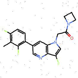 Cc1c(F)ccc(-c2cnc3c(F)cn(CC(=O)N4CCC4)c3c2)c1F